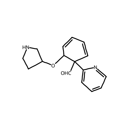 O=CC1(c2ccccn2)C=CC=CC1OC1CCNC1